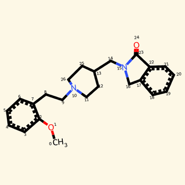 COc1ccccc1CCN1CCC(CN2Cc3ccccc3C2=O)CC1